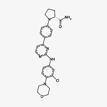 NC(=O)[C@H]1CCCN1c1ccc(-c2ccnc(Nc3ccc(N4CCOCC4)c(Cl)c3)n2)cc1